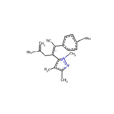 C=C(C/C(=C(\C#N)c1ccc(C(C)(C)C)cc1)c1c(C)c(C)nn1C)C(C)(C)C